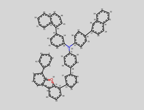 c1ccc(-c2cccc3c2oc2c(-c4cccc(-c5ccc(N(c6ccc(-c7ccc8ccccc8c7)cc6)c6cccc(-c7cccc8ccccc78)c6)cc5)c4)cccc23)cc1